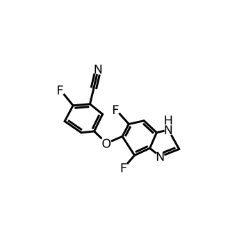 N#Cc1cc(Oc2c(F)cc3[nH]cnc3c2F)ccc1F